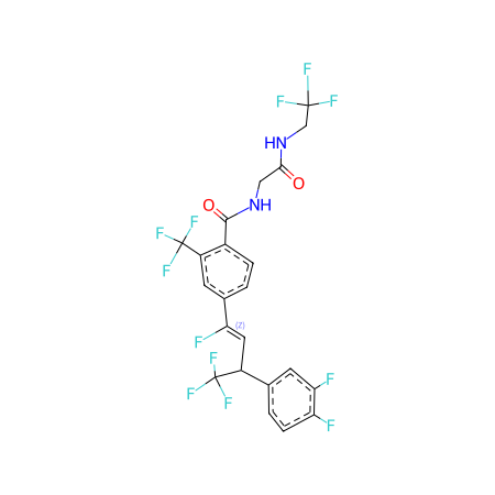 O=C(CNC(=O)c1ccc(/C(F)=C/C(c2ccc(F)c(F)c2)C(F)(F)F)cc1C(F)(F)F)NCC(F)(F)F